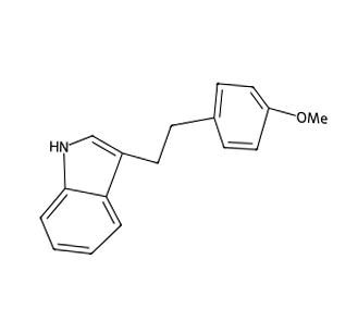 COc1ccc(CCc2c[nH]c3ccccc23)cc1